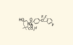 CC1(C)CC(O)CN(S(=O)(=O)c2ccc(OCc3cc(F)ccc3C(F)(F)F)cc2)C1C(=O)O